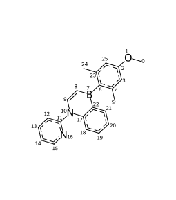 COc1cc(C)c(B2C=CN(c3ccccn3)c3ccccc32)c(C)c1